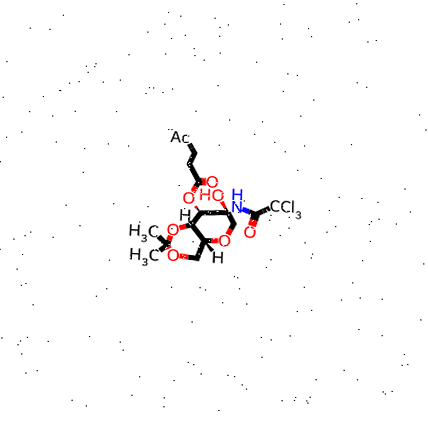 CC(=O)CCC(=O)O[C@H]1[C@@H]2OC(C)(C)OC[C@H]2OC[C@@]1(O)NC(=O)C(Cl)(Cl)Cl